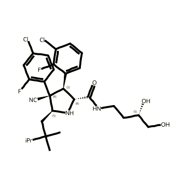 CC(C)C(C)(C)C[C@@H]1N[C@@H](C(=O)NCC[C@H](O)CO)[C@H](c2cccc(Cl)c2F)[C@@]1(C#N)c1ccc(Cl)cc1F